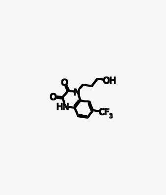 O=c1[nH]c2ccc(C(F)(F)F)cc2n(CCCO)c1=O